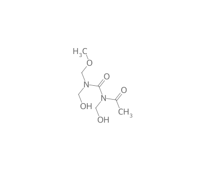 COCN(CO)C(=O)N(CO)C(C)=O